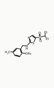 CCC(CC)S(=O)(=O)c1cnc(NCc2cc(C)ccc2OC(C)=O)s1